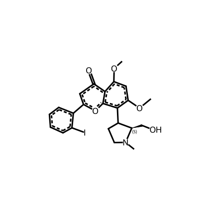 COc1cc(OC)c2c(=O)cc(-c3ccccc3I)oc2c1C1CCN(C)[C@@H]1CO